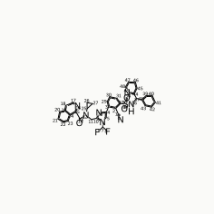 N#Cc1c(-c2cn(C(F)F)c(CN(C(=O)c3nccc4ccccc34)C3CC3)n2)cccc1S(=O)(=O)NC(c1ccccc1)c1ccccn1